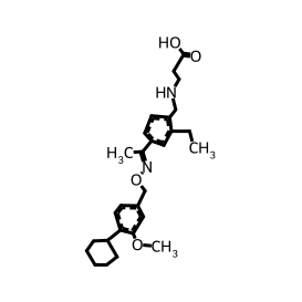 CCc1cc(C(C)=NOCc2ccc(C3CCCCC3)c(OC)c2)ccc1CNCCC(=O)O